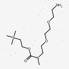 CN(CCOCCOCCN)C(=O)OCC[Si](C)(C)C